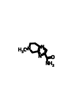 CN1CCc2ncc(C(N)=O)nc2C1